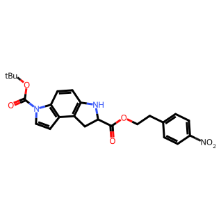 CC(C)(C)OC(=O)n1ccc2c3c(ccc21)NC(C(=O)OCCc1ccc([N+](=O)[O-])cc1)C3